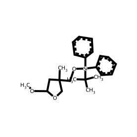 COC1CC(C)(CO[Si](c2ccccc2)(c2ccccc2)C(C)(C)C)CO1